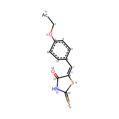 CC(=O)COc1ccc(/C=C2/SC(=S)NC2=O)cc1